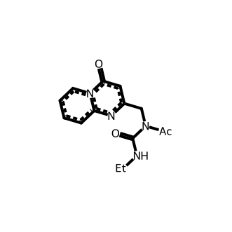 CCNC(=O)N(Cc1cc(=O)n2ccccc2n1)C(C)=O